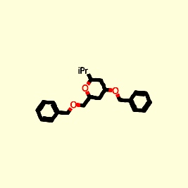 CC(C)C1CC(OCc2ccccc2)CC(COCc2ccccc2)O1